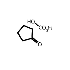 O=C(O)O.O=C1CCCC1